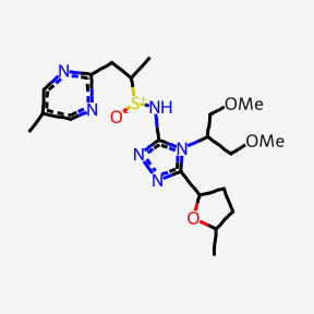 COCC(COC)n1c(N[S+]([O-])C(C)Cc2ncc(C)cn2)nnc1C1CCC(C)O1